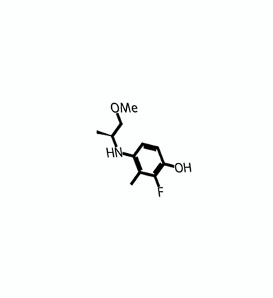 COC[C@H](C)Nc1ccc(O)c(F)c1C